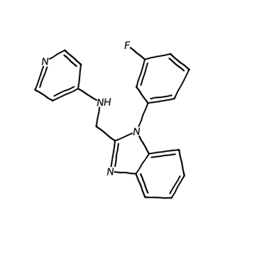 Fc1cccc(-n2c(CNc3ccncc3)nc3ccccc32)c1